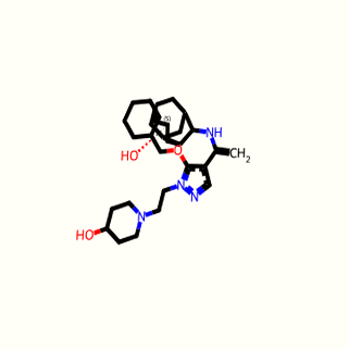 C=C(NC1C2CC3CC(C2)C1C[C@@H](O)C3)c1cnn(CCN2CCC(O)CC2)c1OCC1CCCCC1